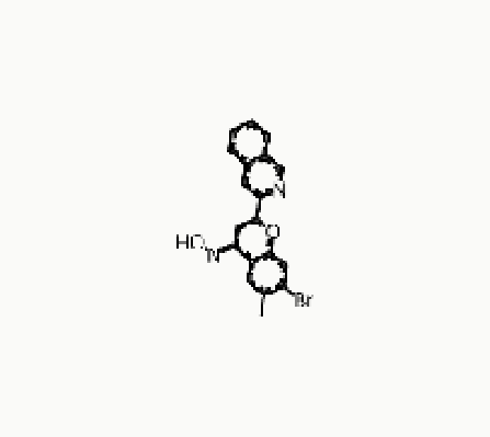 Cc1cc2c(=NO)cc(-c3cc4ccccc4cn3)oc2cc1Br